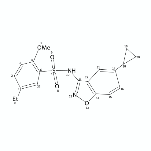 CCc1ccc(OC)c(S(=O)(=O)Nc2noc3ccc(C4CC4)cc23)c1